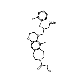 COCC(CN1CCOc2cc3c(c(C)c21)CCN(C(=O)OC(C)(C)C)CC3)Oc1ccccc1F